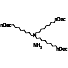 CCCCCCCCCCCCCCCCCCN(CCCCCCCCCCCCCCCCCC)CCCCCCCCCCCCCCCCCC.N